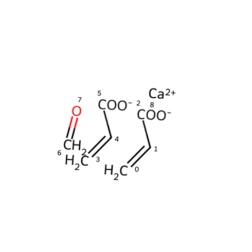 C=CC(=O)[O-].C=CC(=O)[O-].C=O.[Ca+2]